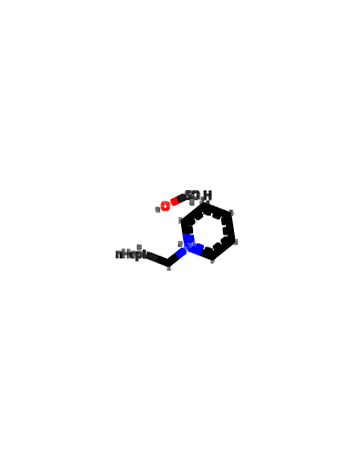 CCCCCCCC[n+]1ccccc1.O=S(=O)([O-])O